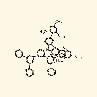 Cc1cc(C)c(-c2ccc3c(c2)c2cc(-c4c(C)cc(C)cc4C)ccc2n3-c2ccc(-c3nc(-c4ccccc4)nc(-c4ccccc4)n3)cc2-c2cc(-c3ccccc3)nc(-c3ccccc3)n2)c(C)c1